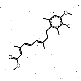 COC(=O)C=C(C)C=CC=C(C)CCc1c(C)cc(OC)c(Cl)c1C